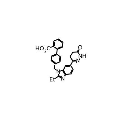 CCc1nc2ccc(C3=NNC(=O)CC3)cc2n1Cc1ccc(-c2ccccc2C(=O)O)cc1